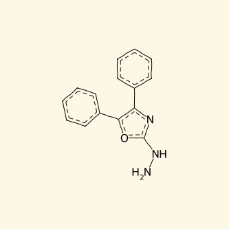 NNc1nc(-c2ccccc2)c(-c2ccccc2)o1